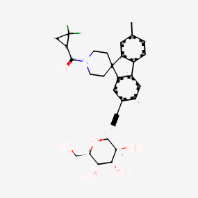 Cc1ccc2c(c1)C1(CCN(C(=O)C3CC3(F)F)CC1)c1cc(C#C[C@H]3O[C@H](CO)[C@@H](O)[C@H](O)[C@@H]3O)ccc1-2